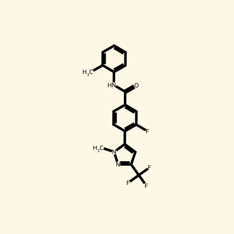 Cc1ccccc1NC(=O)c1ccc(-c2cc(C(F)(F)F)nn2C)c(F)c1